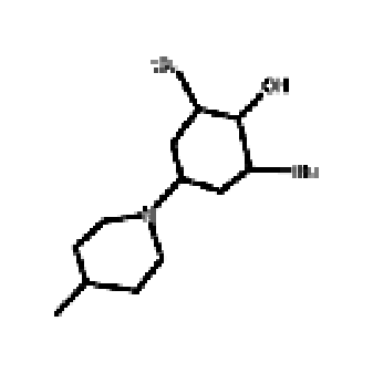 CC1CCN(C2CC(C(C)(C)C)C(O)C(C(C)(C)C)C2)CC1